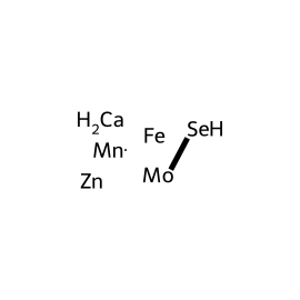 [CaH2].[Fe].[Mn].[SeH][Mo].[Zn]